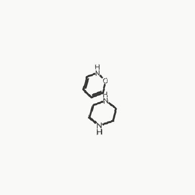 C1=CNOC=C1.C1CNCCN1